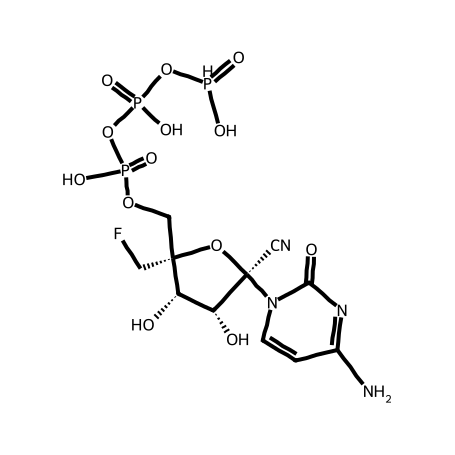 N#C[C@@]1(n2ccc(N)nc2=O)O[C@](CF)(COP(=O)(O)OP(=O)(O)O[PH](=O)O)[C@@H](O)[C@H]1O